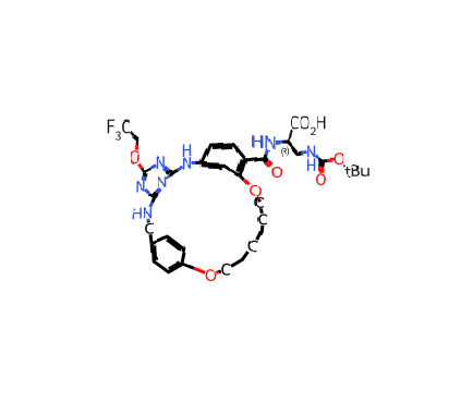 CC(C)(C)OC(=O)NC[C@@H](NC(=O)c1ccc2cc1OCCCCCCOc1ccc(cc1)CNc1nc(nc(OCC(F)(F)F)n1)N2)C(=O)O